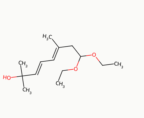 CCOC(CC(C)=CC=CC(C)(C)O)OCC